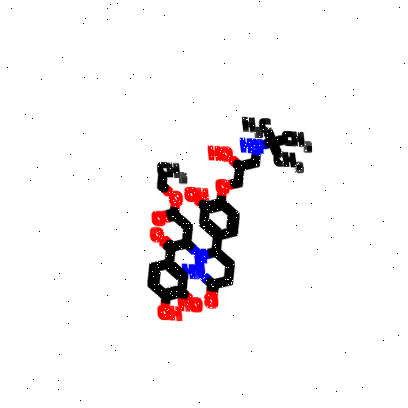 CCOC(=O)CC(C(=O)c1ccc(O)c(O)c1)N1NC(=O)CCC1c1ccc(OCC(O)CNC(C)(C)C)c(O)c1